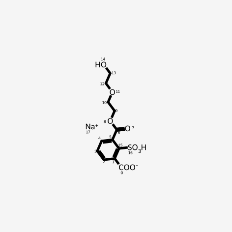 O=C([O-])c1cccc(C(=O)OCCOCCO)c1S(=O)(=O)O.[Na+]